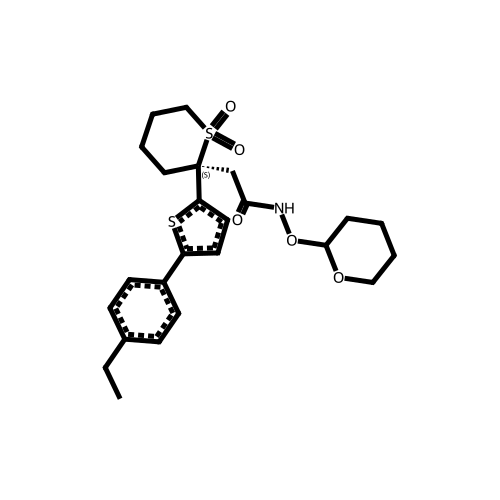 CCc1ccc(-c2ccc([C@@]3(CC(=O)NOC4CCCCO4)CCCCS3(=O)=O)s2)cc1